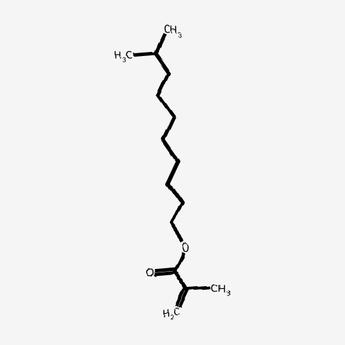 C=C(C)C(=O)OCCCCCCCCC(C)C